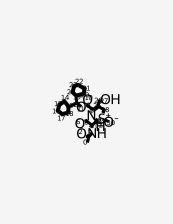 CC(=O)NC1C(=O)N2C(C(=O)OC(c3ccccc3)c3ccccc3)=C(CO)C[S+]([O-])[C@H]12